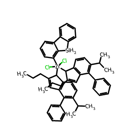 CCCC1=Cc2c(ccc(C(C)C)c2-c2ccccc2)[CH]1[Zr]([Cl])([Cl])([c]1cccc2c1[SiH2]c1ccccc1-2)[CH]1C(CCC)=Cc2c1ccc(C(C)C)c2-c1ccccc1